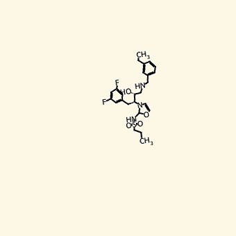 CCCS(=O)(=O)NC1OC=CN1[C@@H](Cc1cc(F)cc(F)c1)[C@H](O)CNCc1cccc(CC)c1